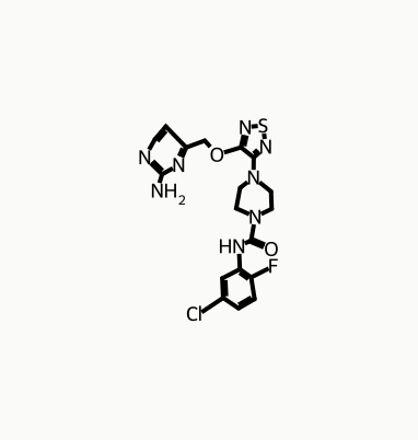 Nc1nccc(COc2nsnc2N2CCN(C(=O)Nc3cc(Cl)ccc3F)CC2)n1